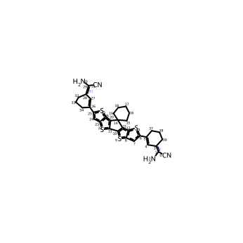 N#C/C(N)=C1/C=C(c2cc3sc4c(c3s2)C2(CCCCC2)c2c-4sc3cc(C4=C/C(=C(/N)C#N)CCC4)sc23)CCC1